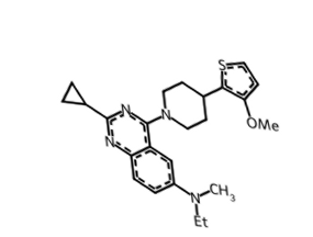 CCN(C)c1ccc2nc(C3CC3)nc(N3CCC(c4sccc4OC)CC3)c2c1